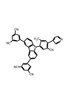 Cc1cc(-c2ccncc2)c(C#N)cc1-n1c2ccc(-c3cc(C#N)cc(C#N)c3)cc2c2cc(-c3cc(C#N)cc(C#N)c3)ccc21